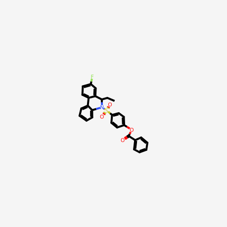 CCC1c2cc(F)ccc2-c2ccccc2N1S(=O)(=O)c1ccc(OC(=O)c2ccccc2)cc1